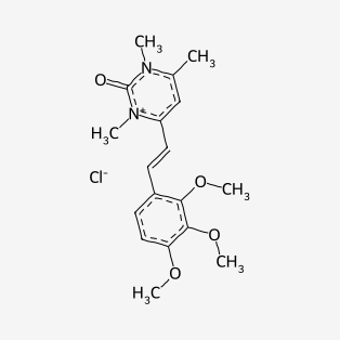 COc1ccc(C=Cc2cc(C)n(C)c(=O)[n+]2C)c(OC)c1OC.[Cl-]